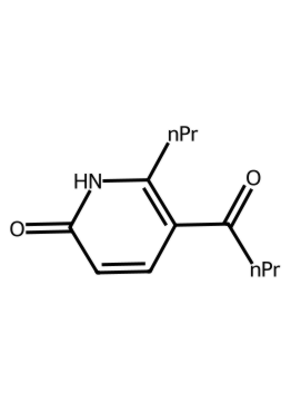 CCCC(=O)c1ccc(=O)[nH]c1CCC